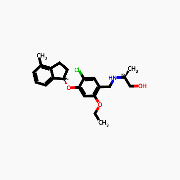 CCOc1cc(O[C@H]2CCc3c(C)cccc32)c(Cl)cc1CN[C@@H](C)CO